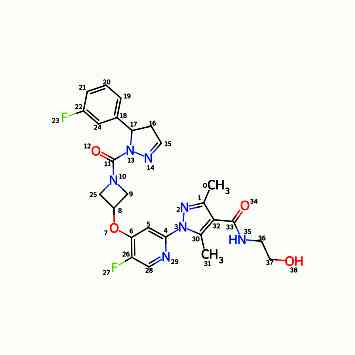 Cc1nn(-c2cc(OC3CN(C(=O)N4N=CCC4c4cccc(F)c4)C3)c(F)cn2)c(C)c1C(=O)NCCO